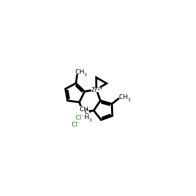 CC1=[C]([Zr+2]2([C]3=C(C)C=CC3C)[CH2][CH2]2)C(C)C=C1.[Cl-].[Cl-]